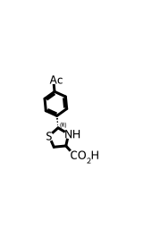 CC(=O)c1ccc([C@@H]2NC(C(=O)O)CS2)cc1